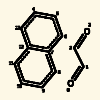 O=CC=O.c1ccc2ccccc2c1